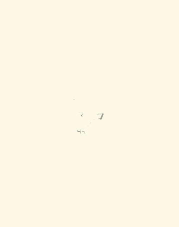 SS.[V].[Zn]